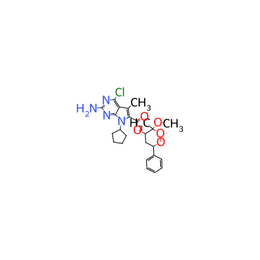 COC1(C)OOC(c2ccccc2)CC1OC(=O)c1c(C)c2c(Cl)nc(N)nc2n1C1CCCC1